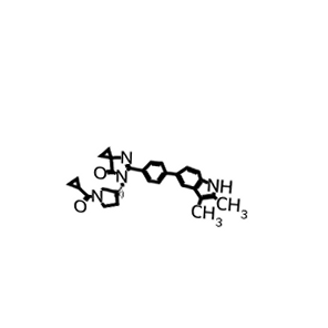 Cc1[nH]c2ccc(-c3ccc(C4=NC5(CC5)C(=O)N4C[C@@H]4CCN(C(=O)C5CC5)C4)cc3)cc2c1C